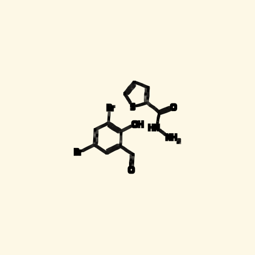 NNC(=O)c1cccs1.O=Cc1cc(Br)cc(Br)c1O